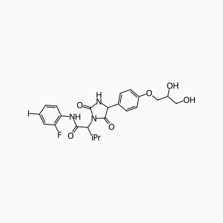 CC(C)C(C(=O)Nc1ccc(I)cc1F)N1C(=O)NC(c2ccc(OCC(O)CO)cc2)C1=O